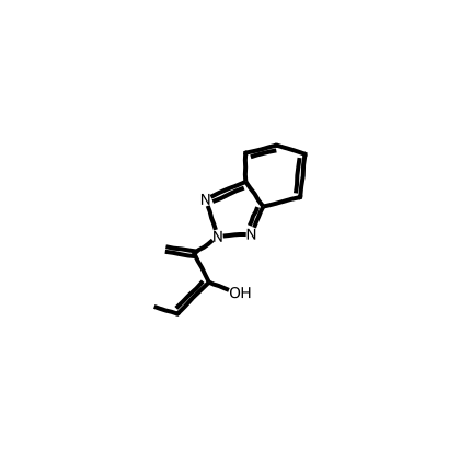 C=C(/C(O)=C\C)n1nc2ccccc2n1